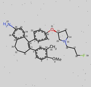 COc1ccc(C2=C(c3ccc(O[C@H]4CCN(CCCF)C4)cc3)c3ccc(N)cc3CCC2)cc1C